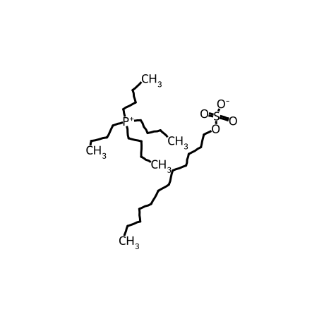 CCCCCCCCCCCCOS(=O)(=O)[O-].CCCC[P+](CCCC)(CCCC)CCCC